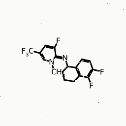 Cn1cc(C(F)(F)F)cc(F)/c1=N/C1CCCc2c1ccc(F)c2F